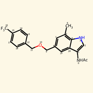 CC(=O)Nc1c[nH]c2c(C)cc(COCc3ccc(C(F)(F)F)cc3)cc12